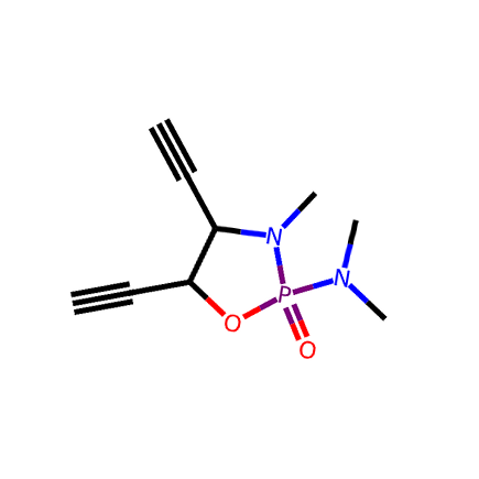 C#CC1OP(=O)(N(C)C)N(C)C1C#C